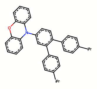 CC(C)c1ccc(-c2ccc(N3c4ccccc4Oc4ccccc43)cc2-c2ccc(C(C)C)cc2)cc1